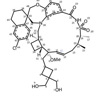 CO[C@@]1(CC2CC(CO)(CO)C2)/C=C/C[C@H](C)[C@@H](C)S(=O)(=O)NC(=O)c2ccc3c(c2)N(C[C@@H]2CC[C@H]21)C[C@@]1(CCCc2cc(Cl)ccc21)CO3